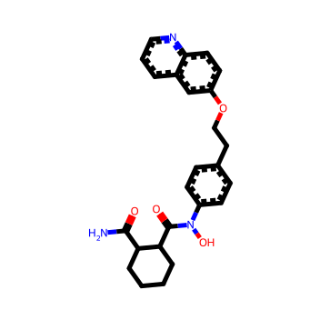 NC(=O)C1CCCCC1C(=O)N(O)c1ccc(CCOc2ccc3ncccc3c2)cc1